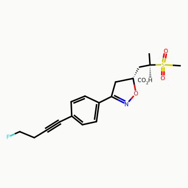 C[C@@](C[C@H]1CC(c2ccc(C#CCCF)cc2)=NO1)(C(=O)O)S(C)(=O)=O